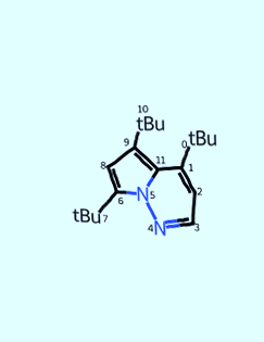 CC(C)(C)c1ccnn2c(C(C)(C)C)cc(C(C)(C)C)c12